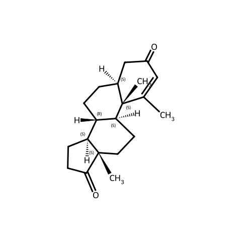 CC1=CC(=O)C[C@@H]2CC[C@@H]3[C@H](CC[C@]4(C)C(=O)CC[C@@H]34)[C@@]12C